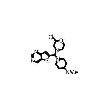 CNC1CCN(C(c2cc3ncncc3s2)N2CCOC(Cl)C2)CC1